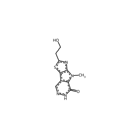 Cn1c2nc(CCO)sc2c2cn[nH]c(=O)c21